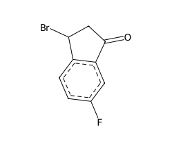 O=C1CC(Br)c2ccc(F)cc21